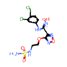 NS(=O)(=O)NCCOc1nonc1/C(=N/O)Nc1ccc(Cl)c(Cl)c1